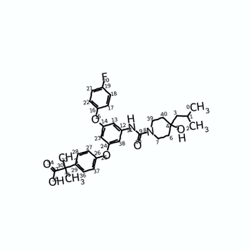 CC(C)CC1(O)CCN(C(=O)Nc2cc(Oc3ccc(F)cc3)cc(Oc3ccc(C(C)(C)C(=O)O)cc3)c2)CC1